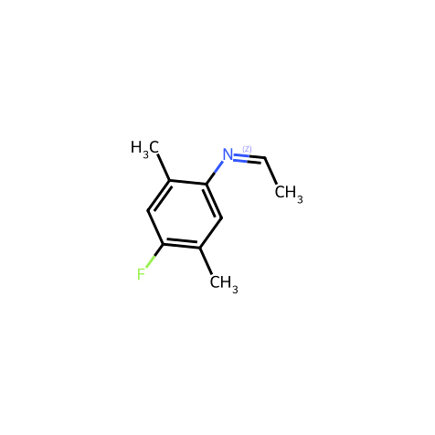 C/C=N\c1cc(C)c(F)cc1C